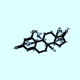 CC1=CC(=O)C=C2CC[C@@H]3[C@H](CC[C@]4(C)C(=O)CC[C@@]34O)[C@@]12C